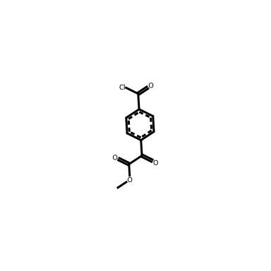 COC(=O)C(=O)c1ccc(C(=O)Cl)cc1